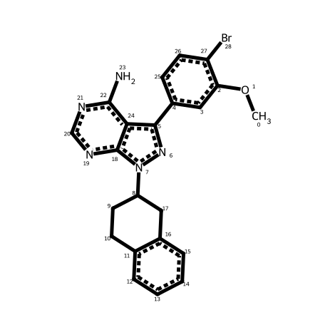 COc1cc(-c2nn(C3CCc4ccccc4C3)c3ncnc(N)c23)ccc1Br